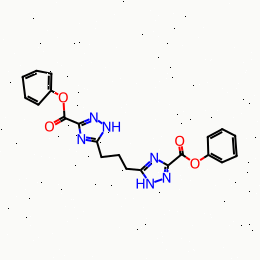 O=C(Oc1ccccc1)c1n[nH]c(CCCc2nc(C(=O)Oc3ccccc3)n[nH]2)n1